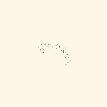 Cc1cccc(-n2c(C)cs/c2=N\C(=O)NCc2ccc(-c3ncn(-c4ccc(OC(F)(F)F)cc4)n3)cc2)c1C(C)C